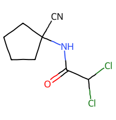 N#CC1(NC(=O)C(Cl)Cl)CCCC1